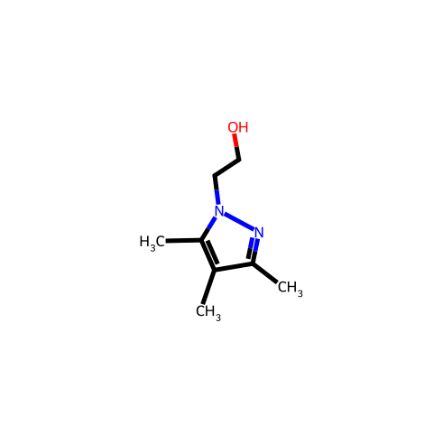 Cc1nn(CCO)c(C)c1C